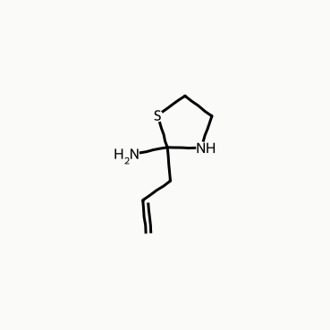 C=CCC1(N)NCCS1